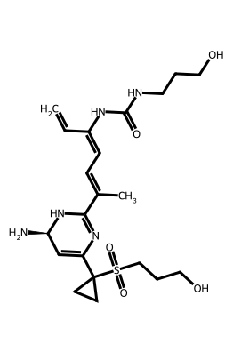 C=C/C(=C\C=C(/C)C1=NC(C2(S(=O)(=O)CCCO)CC2)=C[C@@H](N)N1)NC(=O)NCCCO